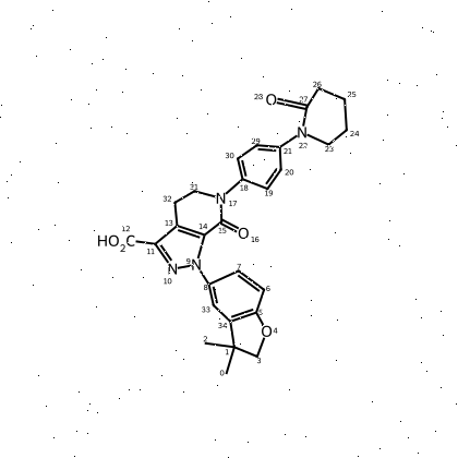 CC1(C)COc2ccc(-n3nc(C(=O)O)c4c3C(=O)N(c3ccc(N5CCCCC5=O)cc3)CC4)cc21